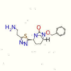 NCCc1nnc([C@@H]2CC[C@@H]3CN2C(=O)N3OCc2ccccc2)s1